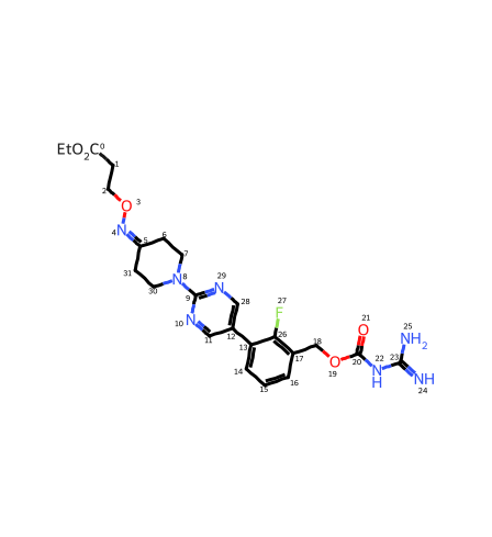 CCOC(=O)CCON=C1CCN(c2ncc(-c3cccc(COC(=O)NC(=N)N)c3F)cn2)CC1